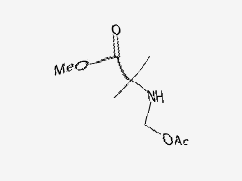 COC(=O)C(C)(C)NCOC(C)=O